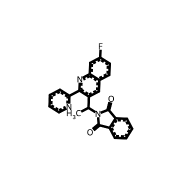 CC(c1cc2ccc(F)cc2nc1-c1ccccn1)N1C(=O)c2ccccc2C1=O